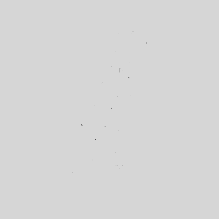 Cc1ccccc1C(CO)n1cnc2c1CCN(c1cnn(C3CCCCO3)c(=O)c1Cl)C2